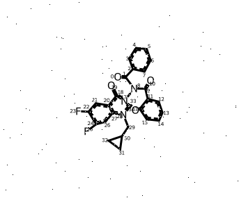 O=C(c1ccccc1)N(C(=O)c1ccccc1)n1c(=O)c2cc(F)c(F)cc2n(CC2CC2)c1=O